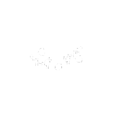 CC(=O)Nc1ccccc1-c1nc(-c2cccc(-c3n[nH]c(-c4ccccc4NC(C)=O)n3)c2)n[nH]1